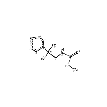 CC(C)(C)OC(=O)NCC(Br)(Br)c1ccccc1